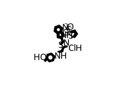 CN(c1cccc2cc(C3=NCC(CCNC4CCC(C)(O)CC4)S3)[nH]c12)S(=O)(=O)c1cccs1.Cl